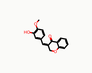 COc1ccc(C=C2COc3ccccc3C2=O)cc1O